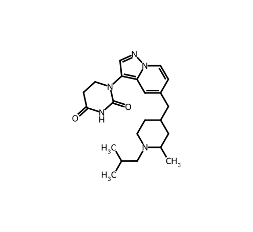 CC(C)CN1CCC(Cc2ccn3ncc(N4CCC(=O)NC4=O)c3c2)CC1C